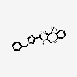 CN1C(=O)[C@H](NC(=O)c2cn(Cc3ccccc3)nn2)COc2ccccc21